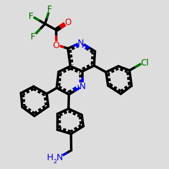 NCc1ccc(-c2nc3c(-c4cccc(Cl)c4)cnc(OC(=O)C(F)(F)F)c3cc2-c2ccccc2)cc1